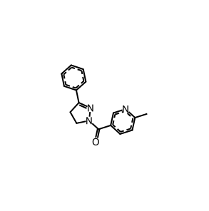 Cc1ccc(C(=O)N2CCC(c3ccccc3)=N2)cn1